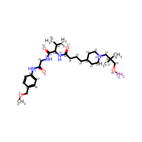 COCc1ccc(NC(=O)CNC(=O)C(NC(=O)CCCC2CCN(CC(C)(C)COP)CC2)C(C)C)cc1